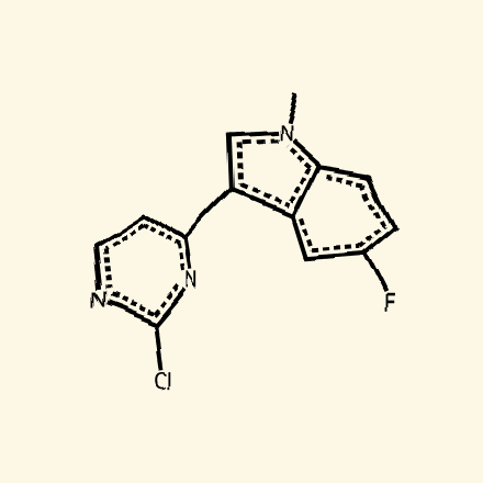 Cn1cc(-c2ccnc(Cl)n2)c2cc(F)ccc21